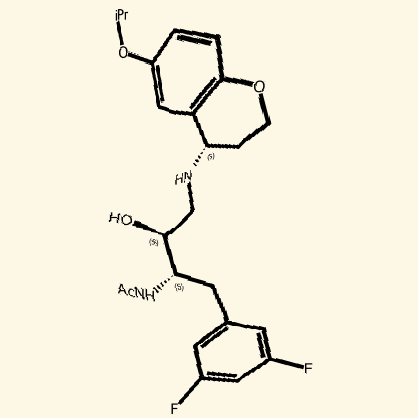 CC(=O)N[C@@H](Cc1cc(F)cc(F)c1)[C@@H](O)CN[C@H]1CCOc2ccc(OC(C)C)cc21